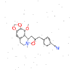 COc1c2c(cc3c1C(CC(=O)Cc1ccc(C#N)cc1)[N+](C)(C)CC3)OCO2